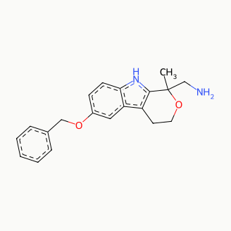 CC1(CN)OCCc2c1[nH]c1ccc(OCc3ccccc3)cc21